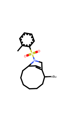 CCCCC1CCCCCCC2C=C1CN2S(=O)(=O)c1ccccc1C